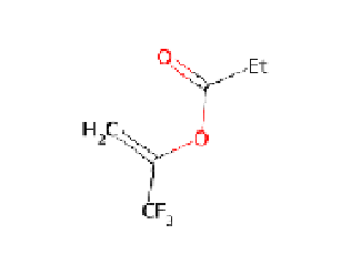 C=C(OC(=O)CC)C(F)(F)F